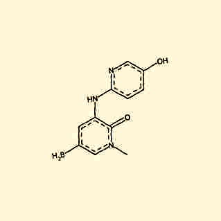 Bc1cc(Nc2ccc(O)cn2)c(=O)n(C)c1